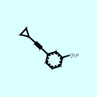 O=C(O)c1cccc(C#CC2CC2)c1